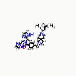 CC(C)=CCN1CCC2(CC1)CCN(Cc1ccc(C(=O)N(Cc3ncc[nH]3)Cc3ncc[nH]3)cc1)C2